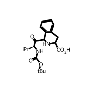 CC(C)[C@H](NC(=O)OC(C)(C)C)C(=O)C1NC(C(=O)O)Cc2ccccc21